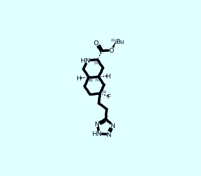 CC[C@H](C)OC(=O)[C@@H]1C[C@H]2C[C@@](F)(CCc3nn[nH]n3)CC[C@H]2CN1